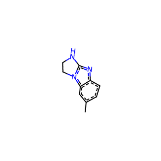 Cc1ccc2nc3n(c2c1)CCN3